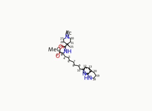 COC(=O)[C@H](CCCCCCCc1ccc2c(n1)NCCC2)NC(=O)C1(C)CCN(C(C)=O)CC1